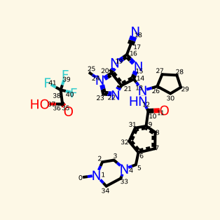 CN1CCN(Cc2ccc(C(=O)NN(c3nc(C#N)nc4c3ncn4C)C3CCCC3)cc2)CC1.O=C(O)C(F)(F)F